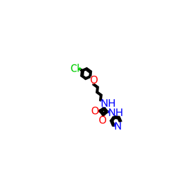 O=c1c(NCCCCCOC2C=CC(Cl)=CC2)c(Nc2ccncc2)c1=O